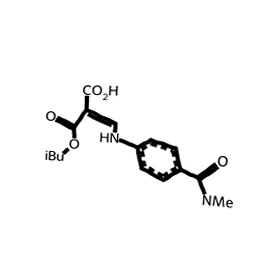 CCC(C)OC(=O)C(=CNc1ccc(C(=O)NC)cc1)C(=O)O